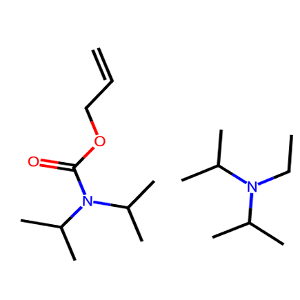 C=CCOC(=O)N(C(C)C)C(C)C.CCN(C(C)C)C(C)C